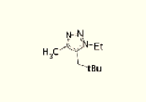 CCn1nnc(C)c1CC(C)(C)C